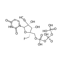 C#C[C@]1(O)C(n2ccc(=O)[nH]c2=O)O[C@](CF)(COP(=O)(O)OP(=O)(O)OP(=O)(O)O)[C@H]1O